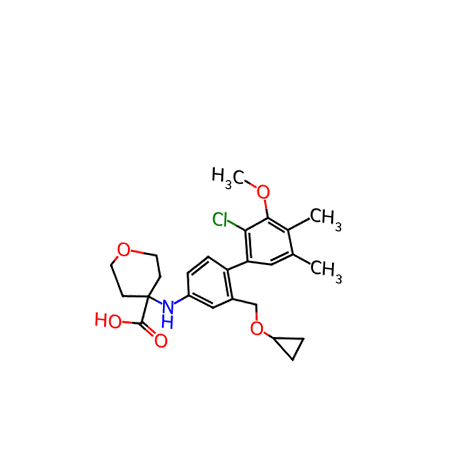 COc1c(C)c(C)cc(-c2ccc(NC3(C(=O)O)CCOCC3)cc2COC2CC2)c1Cl